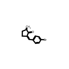 C=C1CCC(=Cc2ccc(Br)cc2)C1=O